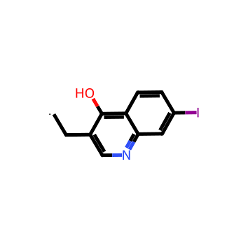 [CH2]Cc1cnc2cc(I)ccc2c1O